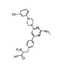 Nc1nc(-c2ccc(CC(N)C(=O)O)cc2)cc(N2CCN(c3cccc(Cl)c3)CC2)n1